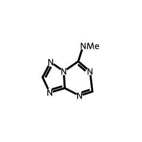 CNc1ncnc2ncnn12